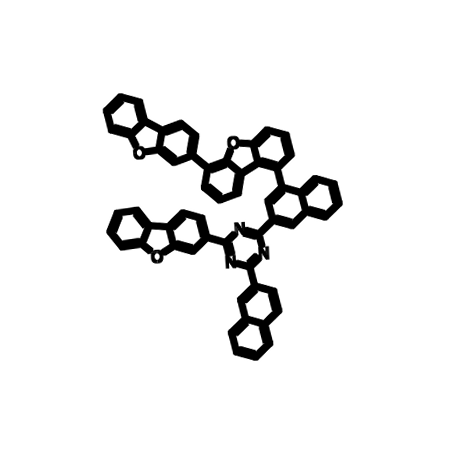 c1ccc2cc(-c3nc(-c4cc(-c5cccc6oc7c(-c8ccc9c(c8)oc8ccccc89)cccc7c56)c5ccccc5c4)nc(-c4ccc5c(c4)oc4ccccc45)n3)ccc2c1